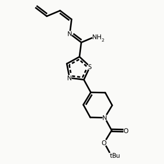 C=C/C=C\N=C(/N)c1cnc(C2=CCN(C(=O)OC(C)(C)C)CC2)s1